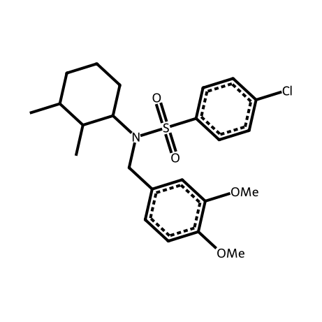 COc1ccc(CN(C2CCCC(C)C2C)S(=O)(=O)c2ccc(Cl)cc2)cc1OC